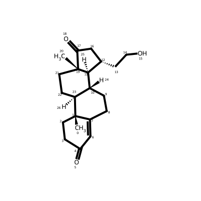 C[C@]12CCC(=O)C=C1CC[C@H]1[C@@H]3[C@@H](CCO)CC(=O)[C@@]3(C)CC[C@@H]12